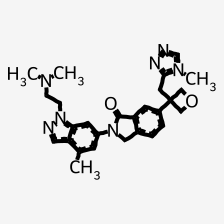 Cc1cc(N2Cc3ccc(C4(Cc5nncn5C)COC4)cc3C2=O)cc2c1cnn2CCN(C)C